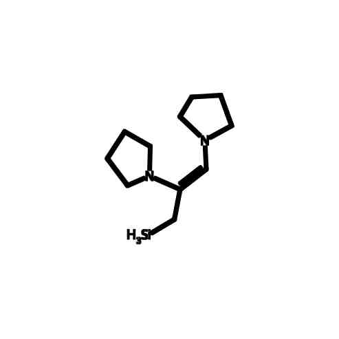 [SiH3]CC(=CN1CCCC1)N1CCCC1